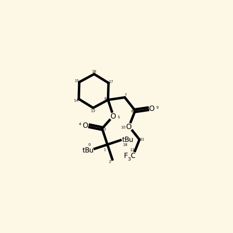 CC(C)(C)C(C)(C(=O)OC1(CC(=O)OCC(F)(F)F)CCCCC1)C(C)(C)C